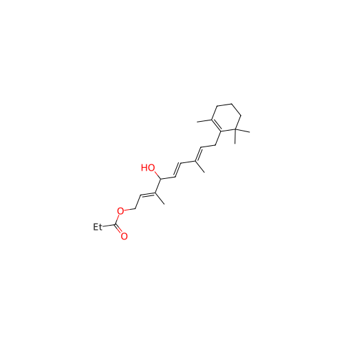 CCC(=O)OC/C=C(\C)C(O)/C=C/C(C)=C/CC1=C(C)CCCC1(C)C